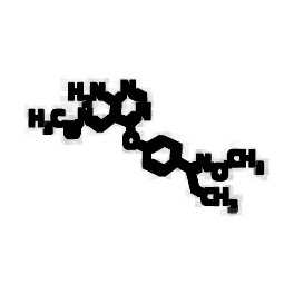 CCC(=NOC)c1ccc(Oc2ncnc(N)c2C=NOC)cc1